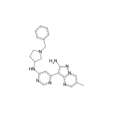 Cc1cnc2c(-c3cc(NC4CCN(Cc5ccccc5)C4)ncn3)c(N)nn2c1